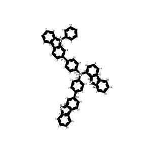 c1ccc(-n2c3ccccc3c3ccc(-c4ccc(N(c5ccc(-c6ccc7c(c6)sc6ccccc67)cc5)c5cccc6c5sc5ccccc56)cc4)cc32)cc1